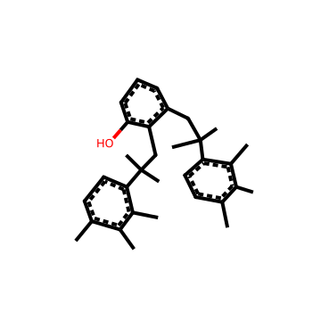 Cc1ccc(C(C)(C)Cc2cccc(O)c2CC(C)(C)c2ccc(C)c(C)c2C)c(C)c1C